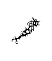 COC(=O)C#Cc1cc2cnc(C(=O)N[C@@H]3C4CCN(CC4)[C@H]3C)cc2s1